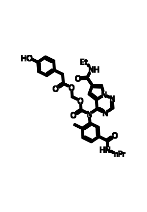 CCCNC(=O)c1ccc(C)c(N(C(=O)OCOC(=O)Cc2ccc(O)cc2)c2ncnn3cc(C(=O)NCC)cc23)c1